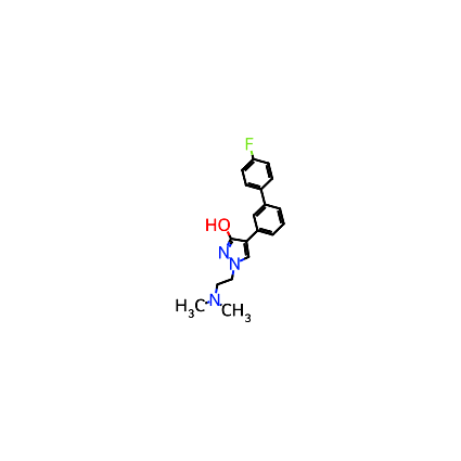 CN(C)CCn1cc(-c2cccc(-c3ccc(F)cc3)c2)c(O)n1